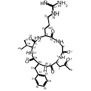 CC(=O)CC1NC(=O)CNC(=O)C(CCCNC(=N)N)NC(=O)C(C(C)C)NC(=O)C(Cc2ccccc2)NC1=O